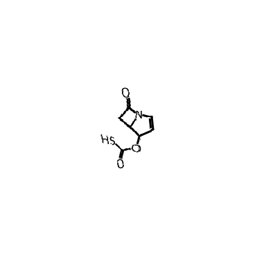 O=C(S)OC1C=CN2C(=O)CC12